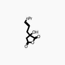 CCCC=CCC1(O)CC(=O)OC1=O